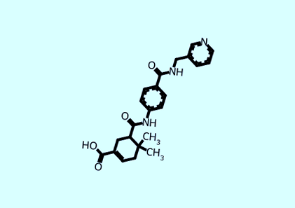 CC1(C)CC=C(C(=O)O)CC1C(=O)Nc1ccc(C(=O)NCc2cccnc2)cc1